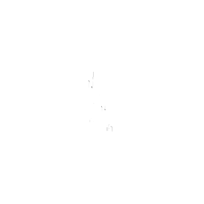 CC(C)C1=NC2(CNC2)CO1